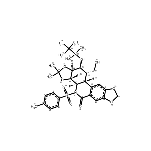 Cc1ccc(S(=O)(=O)N2C(=O)c3cc4c(cc3[C@H]3[C@@H](CO)[C@H](O[Si](C)(C)C(C)(C)C)[C@H]5OC(C)(C)O[C@H]5[C@@H]32)OCO4)cc1